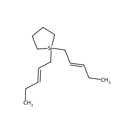 CCC=CC[Si]1(CC=CCC)CCCC1